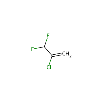 C=C(Cl)C(F)F